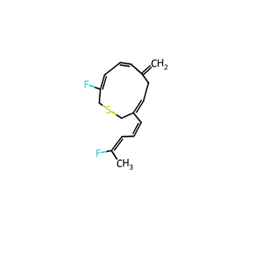 C=C1/C=C\C=C(\F)CSCC(/C=C\C=C(/C)F)=C\C1